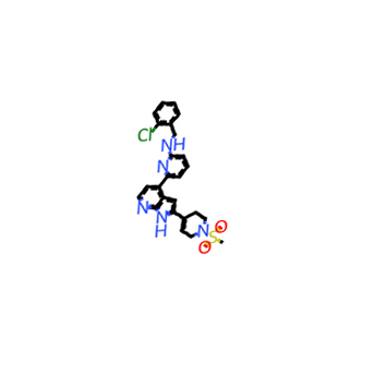 CS(=O)(=O)N1CC=C(c2cc3c(-c4cccc(NCc5ccccc5Cl)n4)ccnc3[nH]2)CC1